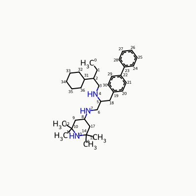 CCC(CNC(CNC1CC(C)(C)NC(C)(C)C1)Cc1ccc(-c2ccccc2)cc1)C1CCCCC1